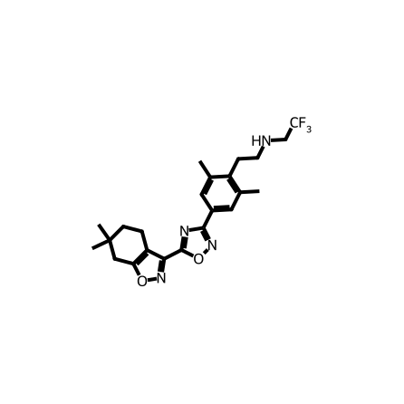 Cc1cc(-c2noc(-c3noc4c3CCC(C)(C)C4)n2)cc(C)c1CCNCC(F)(F)F